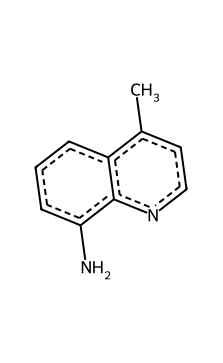 Cc1ccnc2c(N)cccc12